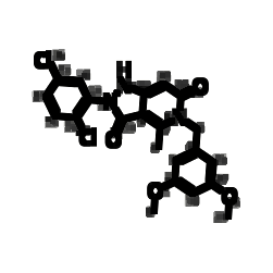 COc1cc(Cn2c(C)c3c(=O)n(-c4cc(Cl)ccc4Cl)[nH]c3cc2=O)cc(OC)c1